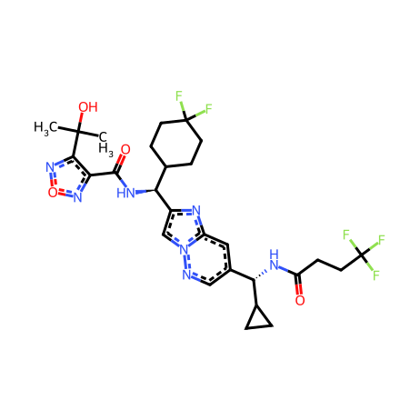 CC(C)(O)c1nonc1C(=O)N[C@H](c1cn2ncc([C@H](NC(=O)CCC(F)(F)F)C3CC3)cc2n1)C1CCC(F)(F)CC1